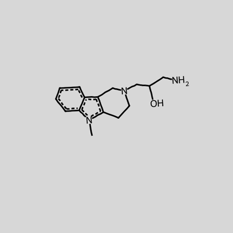 Cn1c2c(c3ccccc31)CN(CC(O)CN)CC2